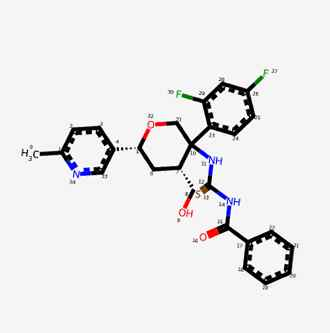 Cc1ccc([C@H]2C[C@@H](CO)C(NC(=S)NC(=O)c3ccccc3)(c3ccc(F)cc3F)CO2)cn1